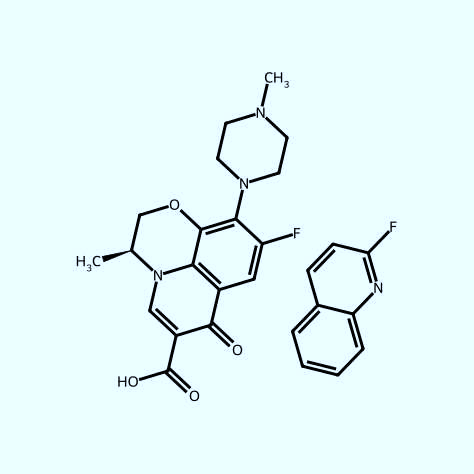 C[C@H]1COc2c(N3CCN(C)CC3)c(F)cc3c(=O)c(C(=O)O)cn1c23.Fc1ccc2ccccc2n1